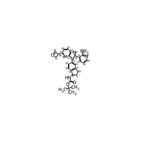 CC(C)(C)OC(=O)N[C@H]1CCc2cc(-n3c(-c4cccnc4N)nc4ccc(C5COC5)nc43)ccc21